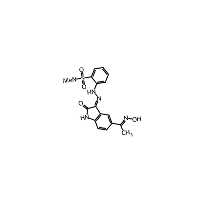 CNS(=O)(=O)c1ccccc1NN=C1C(=O)Nc2ccc(C(C)=NO)cc21